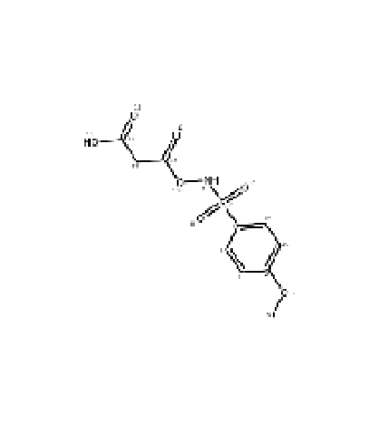 COc1ccc(S(=O)(=O)NOC(=O)CC(=O)O)cc1